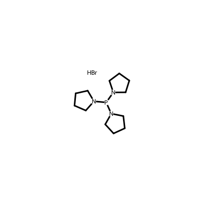 Br.C1CCN(P(N2CCCC2)N2CCCC2)C1